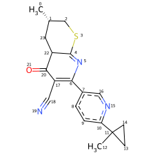 C[C@@H]1CSC2=NC(c3ccc(C4(C)CC4)nc3)=C(C#N)C(=O)C2C1